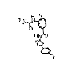 O=C(Nc1nc(-c2ccc(F)cc2)cs1)c1ccc(F)c(NC(=O)C(F)(F)F)c1